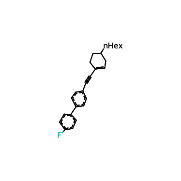 CCCCCCC1CC=C(C#Cc2ccc(-c3ccc(F)cc3)cc2)CC1